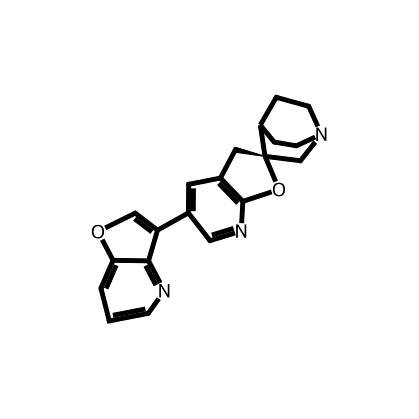 c1cnc2c(-c3cnc4c(c3)C[C@@]3(CN5CCC3CC5)O4)coc2c1